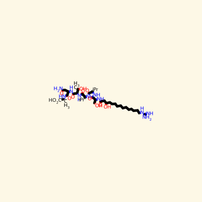 CC(NC(=O)C(CC(N)=O)NC(=O)C(NC(=O)C(NC(=O)C(NC(=O)C(CO)NC(=O)CC(O)CCCCCCCCCCCCNC(=N)N)C(C)C)C(C)C)C(C)O)C(=O)O